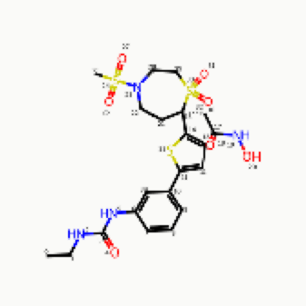 CCNC(=O)Nc1cccc(-c2ccc([C@@]3(CC(=O)NO)CCN(S(C)(=O)=O)CCS3(=O)=O)s2)c1